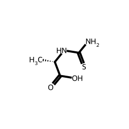 C[C@H](NC(N)=S)C(=O)O